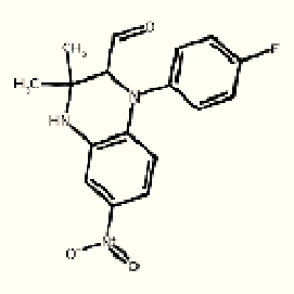 CC1(C)Nc2cc([N+](=O)[O-])ccc2N(c2ccc(F)cc2)C1C=O